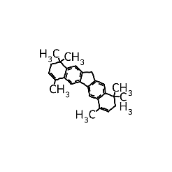 CC1=CCC(C)(C)c2cc3c(cc21)-c1cc2c(cc1C3)C(C)(C)CC=C2C